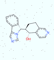 O[C@H]1c2ccncc2CC[C@@H]1[C@H]1c2ccccc2-c2cncn21